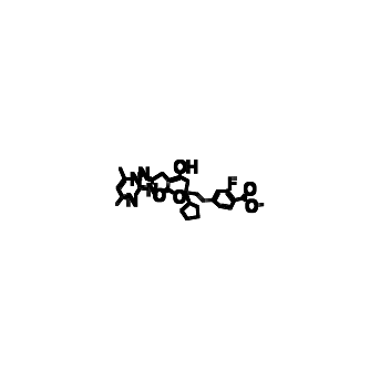 COC(=O)c1ccc(CCC2(C3CCCC3)CC(O)=C(Cc3nc4nc(C)cc(C)n4n3)C(=O)O2)cc1F